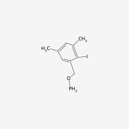 Cc1cc(C)c(I)c(COP)c1